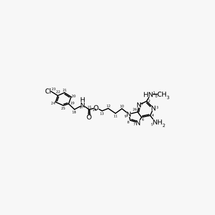 CNc1nc(N)c2ncn(CCCCOC(=O)NCc3ccc(Cl)cc3)c2n1